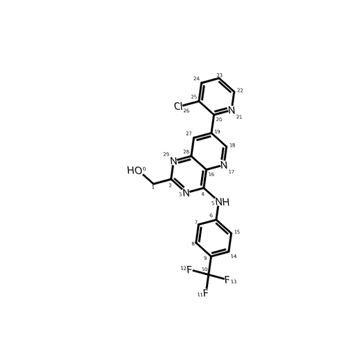 OCc1nc(Nc2ccc(C(F)(F)F)cc2)c2ncc(-c3ncccc3Cl)cc2n1